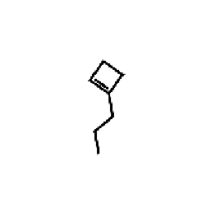 CCCC1=CC[CH]1